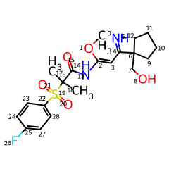 CO/C(=C\C(=N)C1(CO)CCCC1)NC(=O)C(C)(C)S(=O)(=O)c1ccc(F)cc1